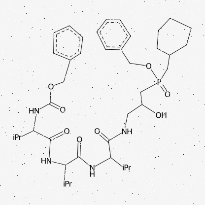 CC(C)C(NC(=O)OCc1ccccc1)C(=O)NC(C(=O)NC(C(=O)NCC(O)CP(=O)(CC1CCCCC1)OCc1ccccc1)C(C)C)C(C)C